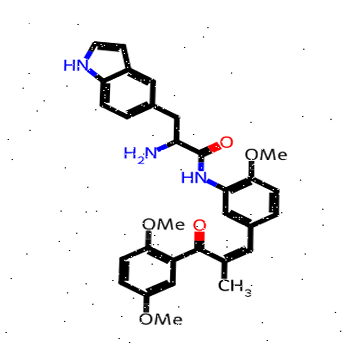 COc1ccc(OC)c(C(=O)C(C)=Cc2ccc(OC)c(NC(=O)C(N)Cc3ccc4[nH]ccc4c3)c2)c1